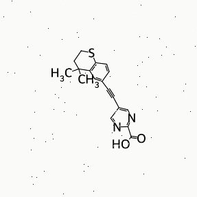 CC1(C)CCSc2ccc(C#Cc3cnc(C(=O)O)nc3)cc21